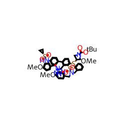 COc1ccc(CN(Cc2ccc(OC)cc2)S(=O)(=O)c2c(SC3CN(C(=O)OC(C)(C)C)C3)ccc(-c3ccc(NS(=O)(=O)C4CC4)cc3)c2-c2nnnn2Cc2ccc(OC)cc2)cc1